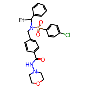 CCC(c1ccccc1)N(Cc1ccc(C(=O)NN2CCOCC2)cc1)S(=O)(=O)c1ccc(Cl)cc1